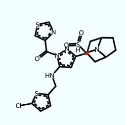 O=C(c1cscn1)n1nc(C2CC3CCC(C2)N3C[SH](=O)=O)cc1NCc1ccc(Cl)s1